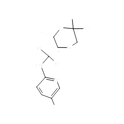 [2H]C([2H])(Nc1ccc(C(F)(F)F)cn1)[C@H]1NCC(F)(F)O[C@H]1C